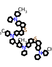 Cc1ccc(N(c2ccccc2)c2ccc3c(ccc4sc5ccc6cc(N(c7ccc(C)cc7)c7cccc(-c8ccc(N(c9ccccc9)c9ccc%10c(ccc%11sc%12ccc%13cc(N(c%14ccccc%14)c%14cccc(C)c%14)ccc%13c%12c%11%10)c9)cc8C)c7)ccc6c5c43)c2)cc1